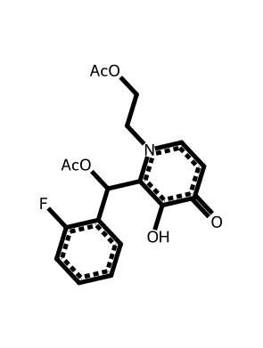 CC(=O)OCCn1ccc(=O)c(O)c1C(OC(C)=O)c1ccccc1F